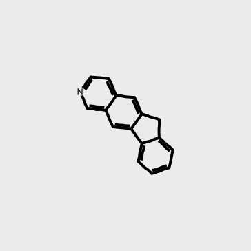 c1ccc2c(c1)Cc1cc3ccncc3cc1-2